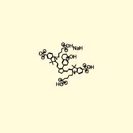 CC1(C)C(=CC=C2CCC(C=CC3=[N+](CCCCS(=O)(=O)O)c4ccc(S(=O)(=O)[O-])cc4C3(C)C)=C2c2cccc(CCCC(=O)O)c2)N(CCCCS(=O)(=O)O)c2ccc(S(=O)(=O)O)cc21.[NaH]